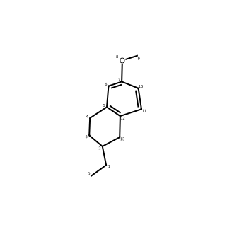 CCC1CCc2cc(OC)ccc2C1